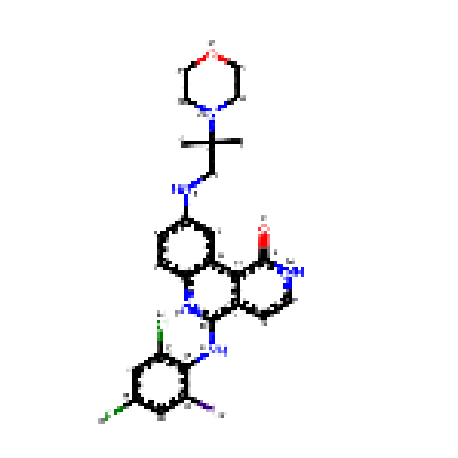 CC(C)(CNc1ccc2nc(Nc3c(Cl)cc(F)cc3I)c3cc[nH]c(=O)c3c2c1)N1CCOCC1